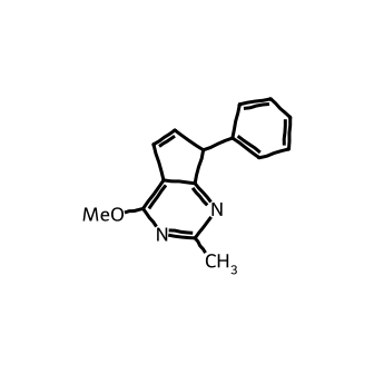 COc1nc(C)nc2c1C=CC2c1ccccc1